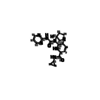 O=C(NC1CC1)C1C=CC2=C(N1)N(C(=O)Nc1ncccn1)[C@H]1CCN2C1